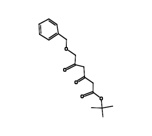 CC(C)(C)OC(=O)CC(=O)CC(=O)COCc1ccccc1